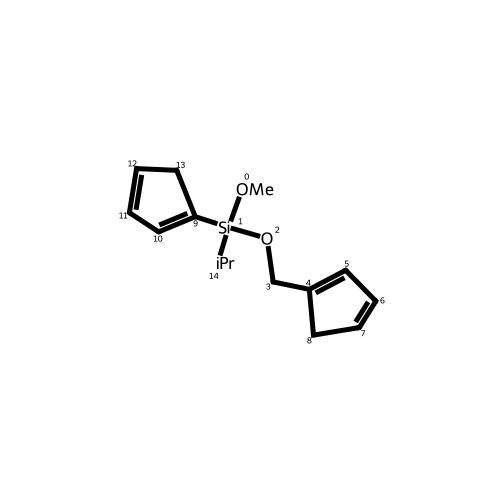 CO[Si](OCC1=CC=CC1)(C1=CC=CC1)C(C)C